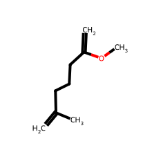 C=C(C)CCCC(=C)OC